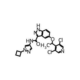 CC(Oc1ccc2[nH]nc(C(=O)Nc3cnn(C4CCC4)c3)c2c1)c1c(Cl)cncc1Cl